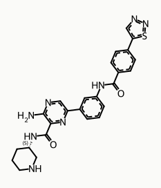 Nc1ncc(-c2cccc(NC(=O)c3ccc(-c4cnns4)cc3)c2)nc1C(=O)N[C@H]1CCCNC1